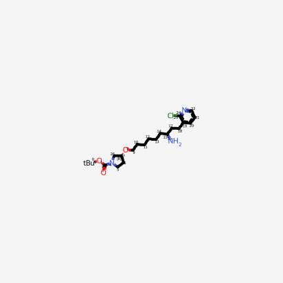 CC(C)(C)OC(=O)N1CC[C@@H](OCCCCCCC(N)CCc2cccnc2Cl)C1